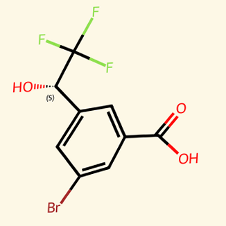 O=C(O)c1cc(Br)cc([C@H](O)C(F)(F)F)c1